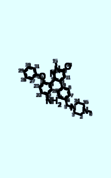 CN1CCN(Cc2ccc(-c3cc(=O)n(C)nc3-c3cc(N)ccc3Oc3ccccc3)cc2)CC1